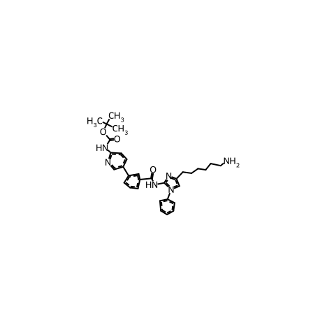 CC(C)(C)OC(=O)Nc1ccc(-c2cccc(C(=O)Nc3nc(CCCCCCN)cn3-c3ccccc3)c2)cn1